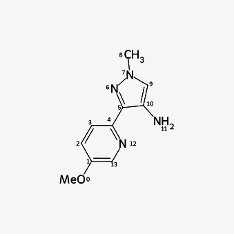 COc1ccc(-c2nn(C)cc2N)nc1